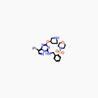 CC(C)c1cnn2c(NCc3ccccc3S(=O)(=O)N3CCOCC3)nc(OC3CCCNC3)nc12